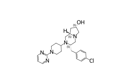 O[C@H]1C[C@H]2CN(C3CCN(c4ncccn4)CC3)[C@@H](Cc3ccc(Cl)cc3)CN2C1